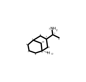 CC(N)C1CC2CCC[C@@H](C2)C1